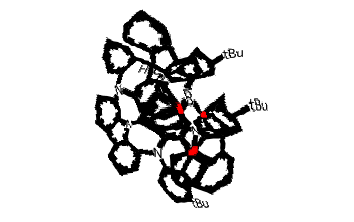 CN1c2ccc(C(C)(C)C)cc2B2c3cc(C(C)(C)C)ccc3N(c3ccc(C(C)(C)C)cc3)c3cc(-n4c5c(N6c7ccccc7C7(c8ccccc8-c8ccccc87)c7ccccc76)cccc5c5cccc(N6c7ccccc7C7(c8ccccc8-c8ccccc87)c7ccccc76)c54)cc1c32